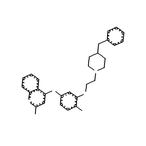 Cc1cc(Nc2ccc(Cl)c(OCCN3CCC(Cc4ccccc4)CC3)c2)c2ccccc2n1